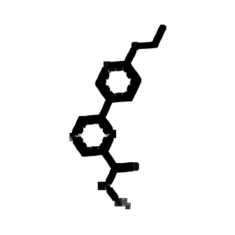 CCOc1ccc(-c2cncc(C(=O)NN)n2)cn1